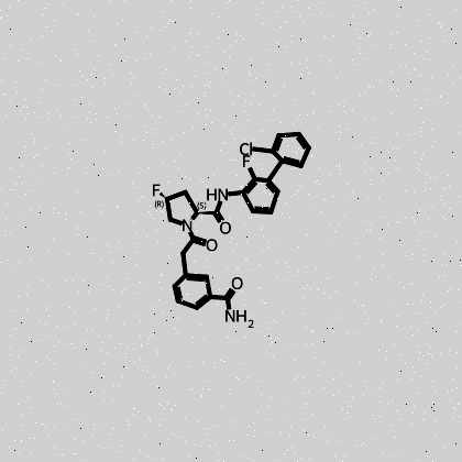 NC(=O)c1cccc(CC(=O)N2C[C@H](F)C[C@H]2C(=O)Nc2cccc(-c3ccccc3Cl)c2F)c1